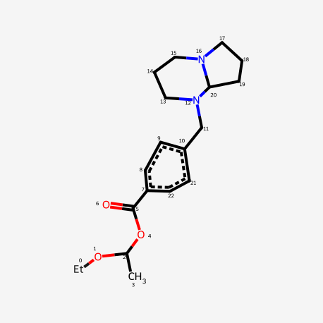 CCOC(C)OC(=O)c1ccc(CN2CCCN3CCCC32)cc1